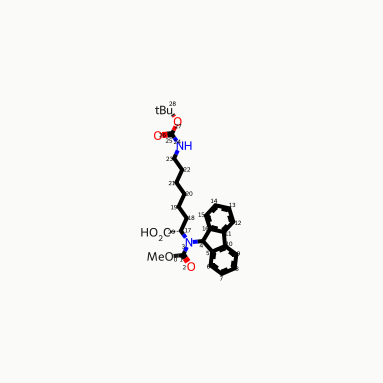 COC(=O)N(C1c2ccccc2-c2ccccc21)[C@@H](CCCCCCNC(=O)OC(C)(C)C)C(=O)O